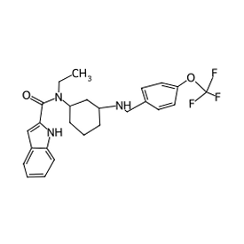 CCN(C(=O)c1cc2ccccc2[nH]1)C1CCCC(NCc2ccc(OC(F)(F)F)cc2)C1